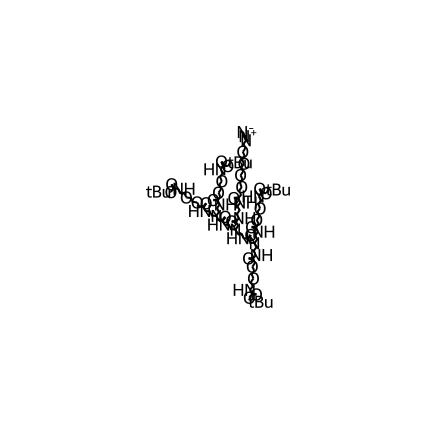 CC(C)(C)OC(=O)NCCOCCOCC(=O)NCCN(CCNC(=O)COCCOCCNC(=O)OC(C)(C)C)CC(=O)NCCN(CCNC(=O)CN(CCNC(=O)COCCOCCNC(=O)OC(C)(C)C)CCNC(=O)COCCOCCNC(=O)OC(C)(C)C)CC(=O)NCCCNC(=O)CCOCCOCCOCCOCCN=[N+]=[N-]